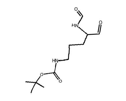 CC(C)(C)OC(=O)NCCCC(C=O)NC=O